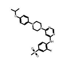 CC(C)Oc1ccc(N2CCN(c3cc(Nc4ccc(S(C)(=O)=O)cc4F)ncn3)CC2)cc1